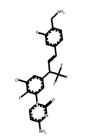 NCc1ccc(/C=C/C(c2cc(Cl)c(F)c(-n3ccc(N)nc3=O)c2)C(F)(F)F)cc1F